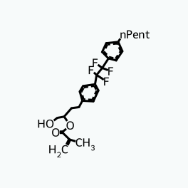 C=C(C)C(=O)OC(CO)CCc1ccc(C(F)(F)C(F)(F)c2ccc(CCCCC)cc2)cc1